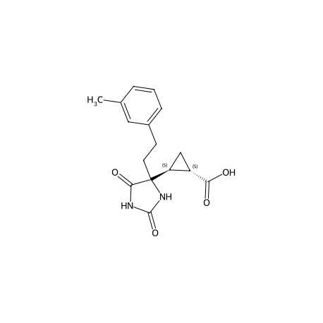 Cc1cccc(CCC2([C@H]3C[C@@H]3C(=O)O)NC(=O)NC2=O)c1